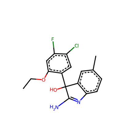 CCOc1cc(F)c(Cl)cc1C1(O)C(N)=Nc2ccc(C)cc21